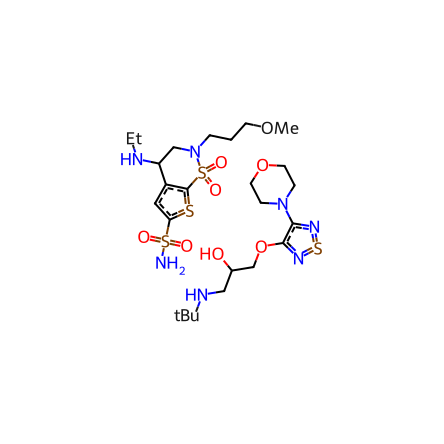 CC(C)(C)NCC(O)COc1nsnc1N1CCOCC1.CCNC1CN(CCCOC)S(=O)(=O)c2sc(S(N)(=O)=O)cc21